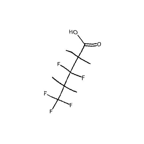 CC(C)(C(=O)O)C(F)(F)C(C)(C)C(F)(F)F